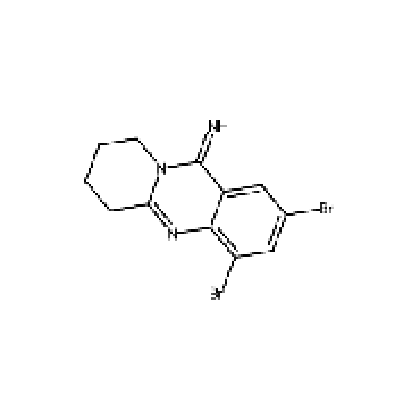 N=c1c2cc(Br)cc(Br)c2nc2n1CCCC2